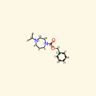 CC(C)N1CCCN(C(=O)OCc2ccccc2)CC1